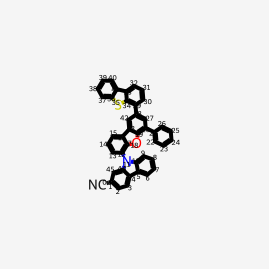 N#Cc1ccc2c3ccccc3n(-c3cccc4c3oc3c(-c5ccccc5)cc(-c5cccc6c5sc5ccccc56)cc34)c2c1